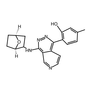 Cc1ccc(-c2nnc(NC3C[C@@H]4CC[C@H]3O4)c3cnccc23)c(O)c1